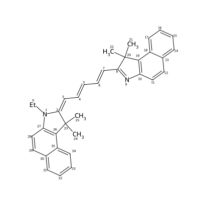 CCN1C(=CC=CC=CC2=Nc3ccc4ccccc4c3C2(C)C)C(C)(C)c2c1ccc1ccccc21